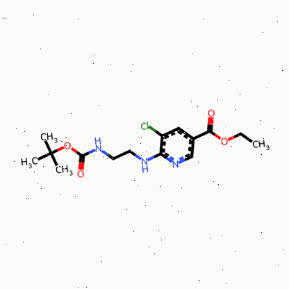 CCOC(=O)c1cnc(NCCNC(=O)OC(C)(C)C)c(Cl)c1